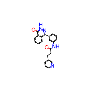 O=C(CCc1cccnc1)Nc1cccc(-c2n[nH]c(=O)c3ccccc23)c1